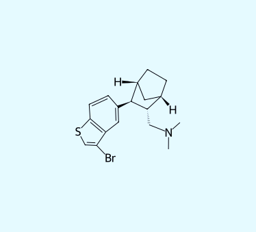 CN(C)C[C@H]1[C@H]2CC[C@H](C2)[C@@H]1c1ccc2scc(Br)c2c1